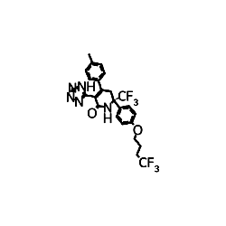 Cc1ccc(C2=C(c3nnn[nH]3)C(=O)N[C@@](c3ccc(OCCCC(F)(F)F)cc3)(C(F)(F)F)C2)cc1